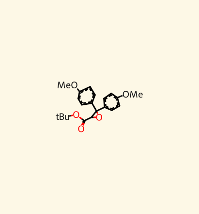 COc1ccc(C2(c3ccc(OC)cc3)OC2C(=O)OC(C)(C)C)cc1